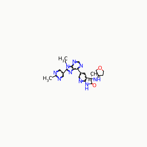 CCn1c(-c2cnc(C)nc2)nc2c(-c3cnc4c(c3)[C@@](C)(N[C@H]3CCOC3)C(=O)N4)ncnc21